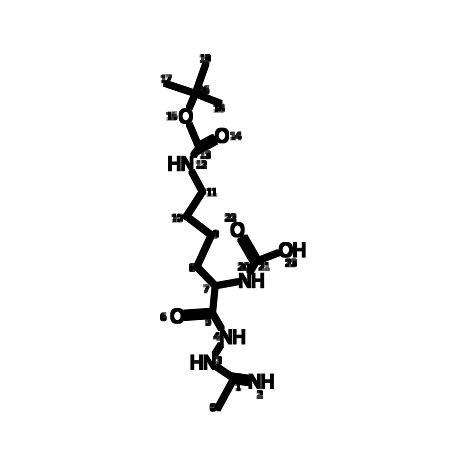 CC(=N)NNC(=O)C(CCCCNC(=O)OC(C)(C)C)NC(=O)O